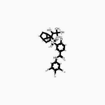 CC(C)(O)C(O)C(O)[C@]1(O)C2CCC1C[C@@H](S(=O)(=O)c1cc(C(=O)Nc3cc(F)c(F)c(F)c3)ccc1Cl)C2